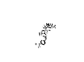 CN[C@@H](CC(C)C)C(=O)N[C@H]1CC[C@@H]2CN(Cc3ccc(C(F)(F)F)cc3)C[C@@H]21